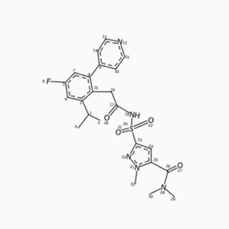 CC(C)c1cc(F)cc(-c2ccncc2)c1CC(=O)NS(=O)(=O)c1cc(C(=O)N(C)C)n(C)n1